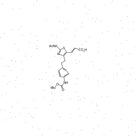 CC(=O)Nc1nc(CCc2ccc(NC(=O)OC(C)(C)C)cc2)c(C=CC(=O)O)s1